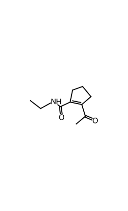 CCNC(=O)C1=C(C(C)=O)CCC1